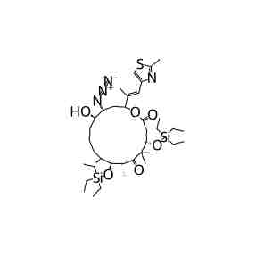 CC[Si](CC)(CC)O[C@H]1[C@@H](C)CCC[C@@H](O)[C@@H](N=[N+]=[N-])CC(/C(C)=C/c2csc(C)n2)OC(=O)C[C@H](O[Si](CC)(CC)CC)C(C)(C)C(=O)[C@@H]1C